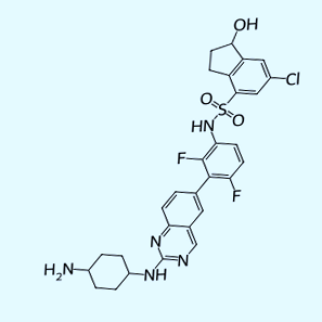 NC1CCC(Nc2ncc3cc(-c4c(F)ccc(NS(=O)(=O)c5cc(Cl)cc6c5CCC6O)c4F)ccc3n2)CC1